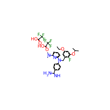 CCOc1cc(CN(c2ccc(C(=N)N)cc2)c2cccc(N(C)C)n2)c(F)c(OC(C)C)c1.O=C(O)C(F)(F)F.O=C(O)C(F)(F)F